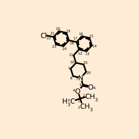 CC(C)(C)OC(=O)N1CCC(Cc2ccccc2-c2ccc(Cl)cc2)CC1